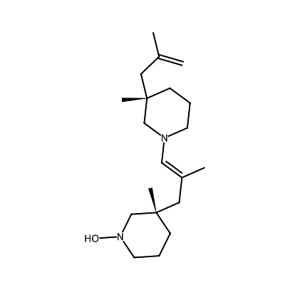 C=C(C)C[C@]1(C)CCCN(/C=C(\C)C[C@]2(C)CCCN(O)C2)C1